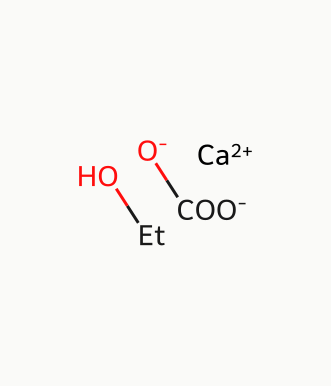 CCO.O=C([O-])[O-].[Ca+2]